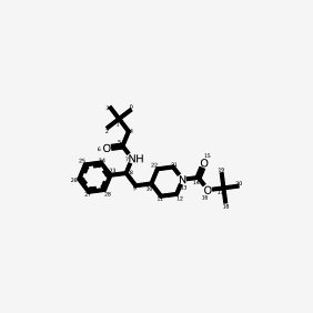 CC(C)(C)CC(=O)NC(CC1CCN(C(=O)OC(C)(C)C)CC1)c1ccccc1